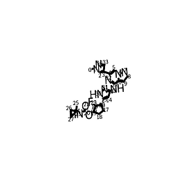 Cn1cc(-c2cn3nccc3c(Nc3cc([C@@H]4CC[C@H](OC(=O)NC5(C)CC5)[C@H]4F)[nH]n3)n2)cn1